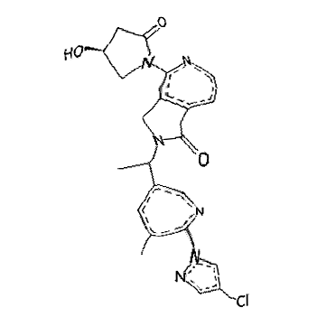 Cc1cc(C(C)N2Cc3c(ccnc3N3C[C@@H](O)CC3=O)C2=O)cnc1-n1cc(Cl)cn1